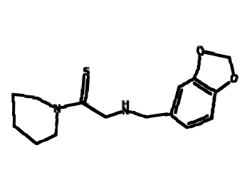 S=C(CNCc1ccc2c(c1)OCO2)N1CCCCC1